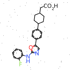 O=C(O)CC1CCC(c2ccc(-c3cnc(Nc4ccccc4F)o3)cc2)CC1